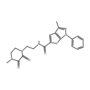 Cc1nn(-c2ccccc2)c2sc(C(=O)NCCN3CCN(C)C(=O)C3=O)cc12